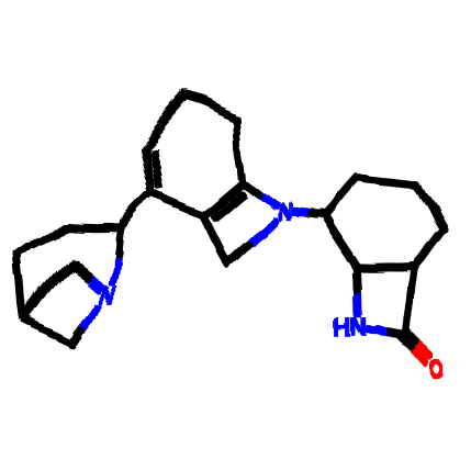 O=C1NC2C1CCCC2N1CC2=C1CCC=C2C1CCC2CN1C2